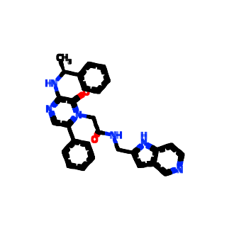 C[C@H](Nc1ncc(-c2ccccc2)n(CC(=O)NCc2cc3cnccc3[nH]2)c1=O)c1ccccc1